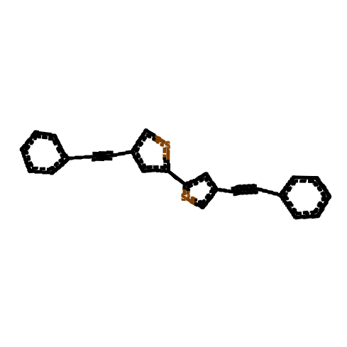 C(#Cc1csc(-c2cc(C#Cc3ccccc3)cs2)c1)c1ccccc1